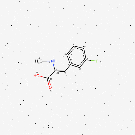 CN[C@@H](Cc1cccc(F)c1)C(=O)O